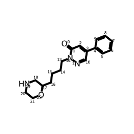 O=c1cc(-c2ccccc2)cnn1CCCCC1CNCCO1